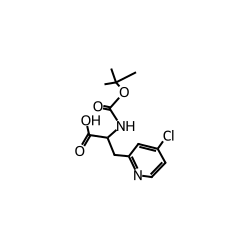 CC(C)(C)OC(=O)NC(Cc1cc(Cl)ccn1)C(=O)O